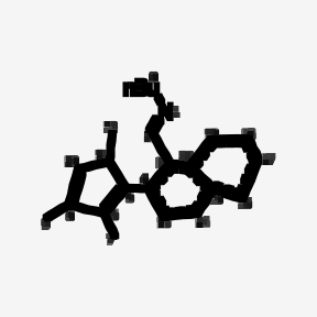 CCCC/N=C/c1c(C2=C(C)C(C)=CC2C)ccc2ccccc12